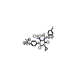 C/C(C=O)=c1/c(=C(/Nc2ccc(I)cc2F)N(C)C)c(=O)n(C2CC2)c(=O)n1-c1ccc(NS(C)(=O)=O)cc1